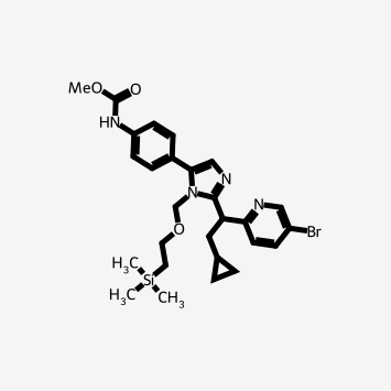 COC(=O)Nc1ccc(-c2cnc(C(CC3CC3)c3ccc(Br)cn3)n2COCC[Si](C)(C)C)cc1